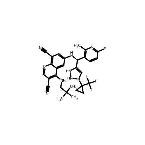 Cc1nc(F)ccc1[C@H](Nc1cc(C#N)c2ncc(C#N)c(NCC(C)(C)C)c2c1)C1=CN(C2(C(F)(F)F)CC2)NN1